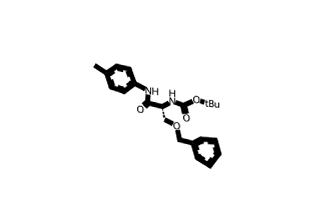 Cc1ccc(NC(=O)[C@@H](COCc2ccccc2)NC(=O)OC(C)(C)C)cc1